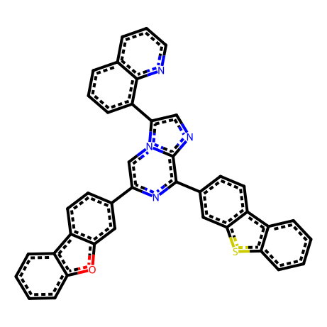 c1cnc2c(-c3cnc4c(-c5ccc6c(c5)sc5ccccc56)nc(-c5ccc6c(c5)oc5ccccc56)cn34)cccc2c1